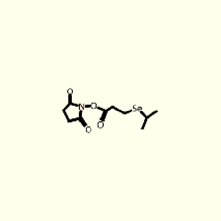 CC(C)[Se]CCC(=O)ON1C(=O)CCC1=O